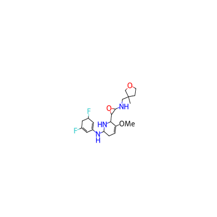 COC1=CCC(NC2=CC(F)CC(F)=C2)NC1C1OC1NCC1(C)CCOC1